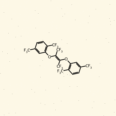 FC(F)(F)C(Oc1cc(C(F)(F)F)ccc1C(F)(F)F)=C(Oc1cc(C(F)(F)F)ccc1C(F)(F)F)C(F)(F)F